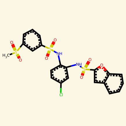 CS(=O)(=O)c1cccc(S(=O)(=O)Nc2ccc(Cl)cc2NS(=O)(=O)c2cc3ccccc3o2)c1